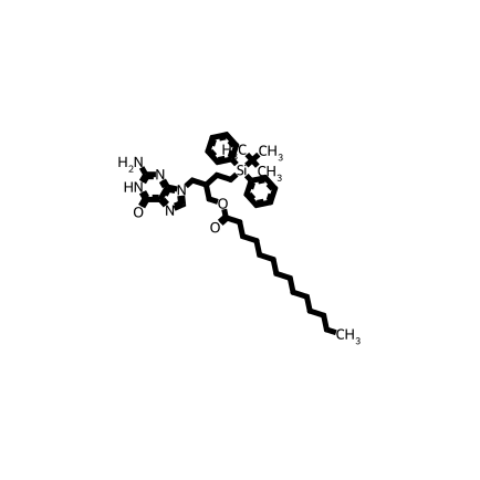 CCCCCCCCCCCCCC(=O)OCC(CC[Si](c1ccccc1)(c1ccccc1)C(C)(C)C)Cn1cnc2c(=O)[nH]c(N)nc21